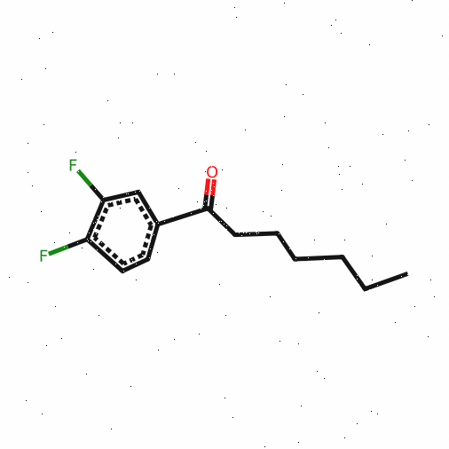 CCCCCCC(=O)c1ccc(F)c(F)c1